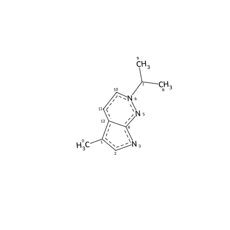 Cc1cnc2nn(C(C)C)ccc1-2